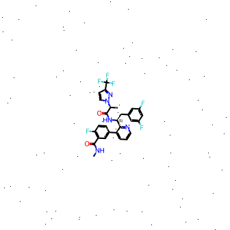 CNC(=O)c1cc(-c2cccnc2[C@H](Cc2cc(F)cc(F)c2)NC(=O)C(C)n2ccc(C(F)(F)F)n2)ccc1F